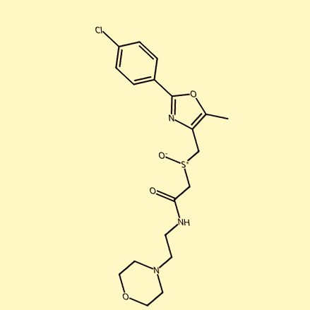 Cc1oc(-c2ccc(Cl)cc2)nc1C[S+]([O-])CC(=O)NCCN1CCOCC1